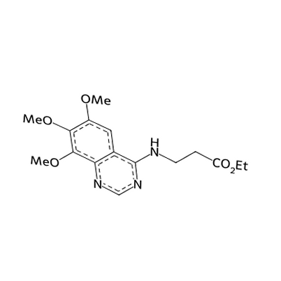 CCOC(=O)CCNc1ncnc2c(OC)c(OC)c(OC)cc12